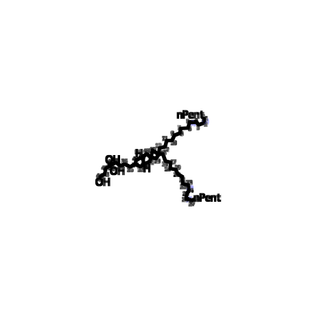 CCCCC/C=C\C/C=C\CCCCCCCCC1(CCCCCCCC/C=C\C/C=C\CCCCC)CC2(C[C@H]3CC(CCCCC(O)(O)CCCO)C[C@H]3C2)C1